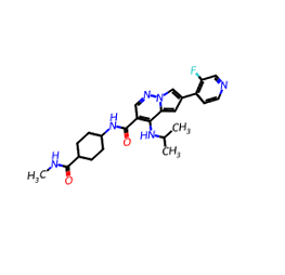 CNC(=O)C1CCC(NC(=O)c2cnn3cc(-c4ccncc4F)cc3c2NC(C)C)CC1